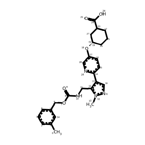 Cc1cccc(COC(=O)NCc2c(-c3ccc(O[C@H]4CCCC(C(=O)O)C4)cn3)cnn2C)c1